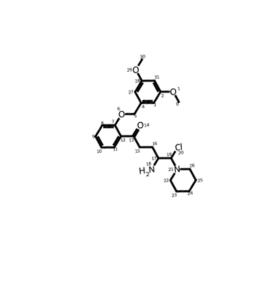 COc1cc(COc2ccccc2C(=O)CCC(N)C(Cl)N2CCCCC2)cc(OC)c1